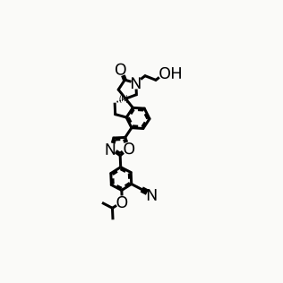 CC(C)Oc1ccc(-c2ncc(-c3cccc4c3CC[C@@]43CC(=O)N(CCO)C3)o2)cc1C#N